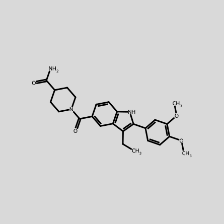 CCc1c(-c2ccc(OC)c(OC)c2)[nH]c2ccc(C(=O)N3CCC(C(N)=O)CC3)cc12